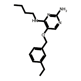 CCCCNc1nc(N)ncc1OCc1cccc(CC)c1